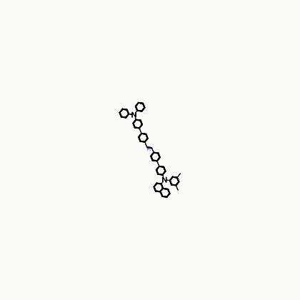 Cc1cc(C)cc(N(c2ccc(-c3ccc(/C=C/c4ccc(-c5ccc(N(c6ccccc6)c6ccccc6)cc5)cc4)cc3)cc2)c2cccc3ccccc23)c1